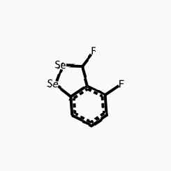 Fc1cccc2c1C(F)[Se][Se]2